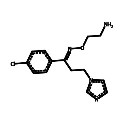 NCCON=C(CCn1ccnc1)c1ccc(Cl)cc1